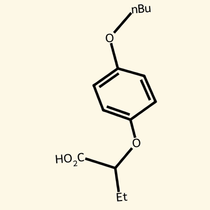 CCCCOc1ccc(OC(CC)C(=O)O)cc1